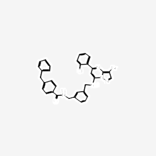 O=C(NCc1cccc(CNc2cc(-c3ccccc3Cl)nc3c(Br)cnn23)c1)c1ccc(Cc2ccccc2)cc1